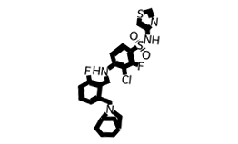 O=S(=O)(Nc1cscn1)c1ccc(NCc2c(F)cccc2CN2CC3CCCC2C3)c(Cl)c1F